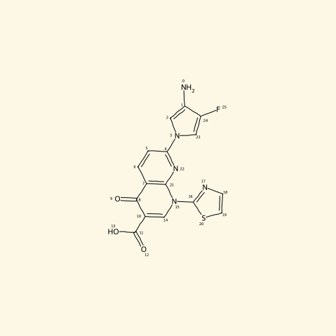 Nc1cn(-c2ccc3c(=O)c(C(=O)O)cn(-c4nccs4)c3n2)cc1F